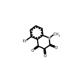 CCc1cccc2c1C(=O)C(=O)C(=O)N2C